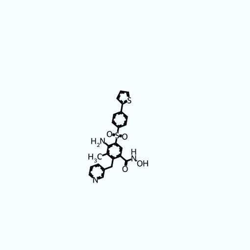 Cc1c(N)c(S(=O)(=O)c2ccc(-c3cccs3)cc2)cc(C(=O)NO)c1Cc1cccnc1